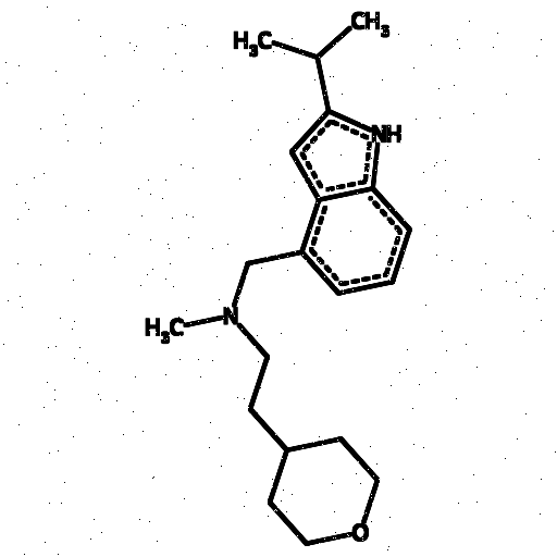 CC(C)c1cc2c(CN(C)CCC3CCOCC3)cccc2[nH]1